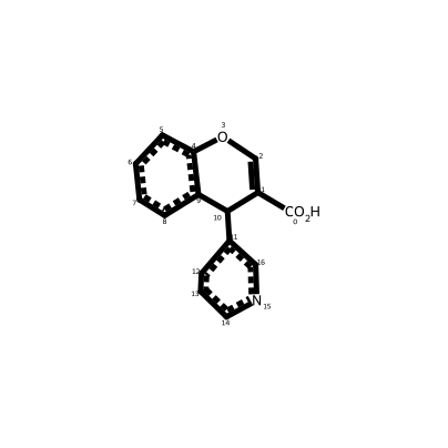 O=C(O)C1=COc2ccccc2C1c1cccnc1